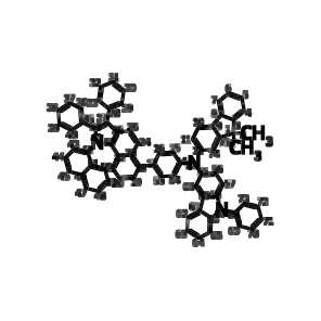 CC1(C)c2ccccc2-c2ccc(N(c3ccc(-c4cccc5c4ccc4c(-c6ccccc6)c(-c6ccccc6)n(-c6cccc7ccccc67)c45)cc3)c3ccc4c(c3)c3ccccc3n4-c3ccccc3)cc21